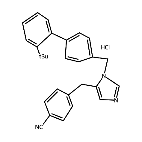 CC(C)(C)c1ccccc1-c1ccc(Cn2cncc2Cc2ccc(C#N)cc2)cc1.Cl